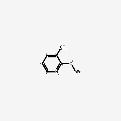 CCCOc1ncccc1C(F)(F)F